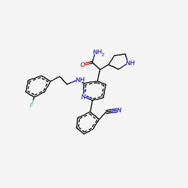 N#Cc1ccccc1-c1ccc(C(C(N)=O)C2CCNC2)c(NCCc2cccc(F)c2)n1